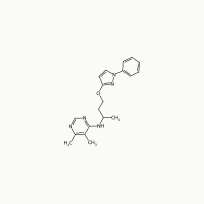 Cc1ncnc(NC(C)CCOc2ccn(-c3ccccc3)n2)c1C